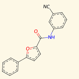 N#Cc1cccc(NC(=O)c2ccc(-c3ccccc3)o2)c1